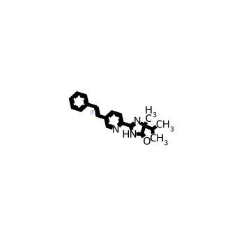 CC(C)C1(C)N=C(c2ccc(/C=C/c3ccccc3)cn2)NC1=O